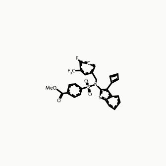 COC(=O)c1ccc(S(=O)(=O)N(Cc2ccc(F)c(C(F)(F)F)c2)c2sc3ccccc3c2C2=CC=C2)cc1